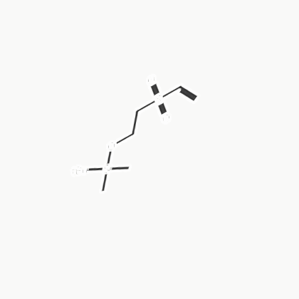 C=CS(=O)(=O)CCO[Si](C)(C)C(C)(C)C